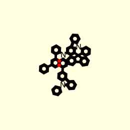 c1ccc(-c2cccc(-c3ccccc3N(c3ccc(-c4ccc5c(c4)c4ccccc4n5-c4ccccc4)cc3)c3cc4c5c(c3)c3ccccc3n5-c3ccccc3C43c4ccccc4-c4ccccc43)c2)cc1